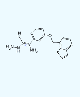 N#C/C(NN)=C(/N)c1cccc(OCc2cccc3ccsc23)c1